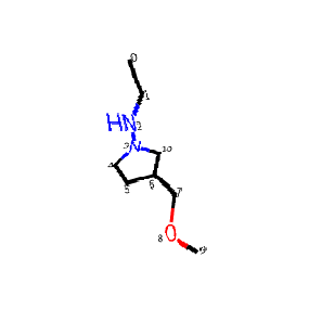 CCNN1CCC(COC)C1